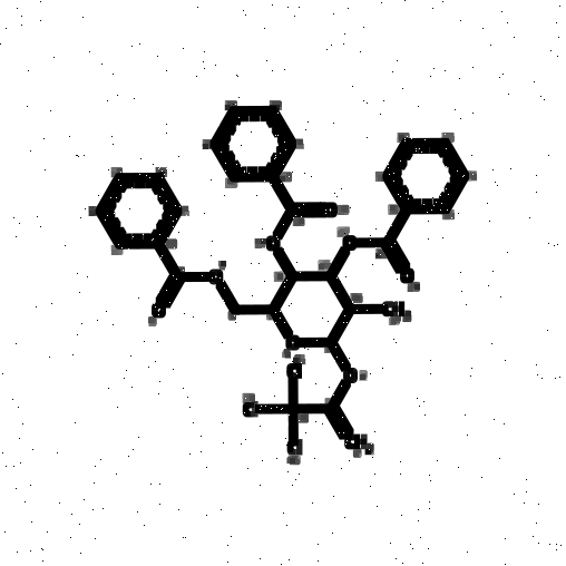 C=C(OC1OC(COC(=O)c2ccccc2)C(OC(=O)c2ccccc2)C(OC(=O)c2ccccc2)C1C)C(Cl)(Cl)Cl